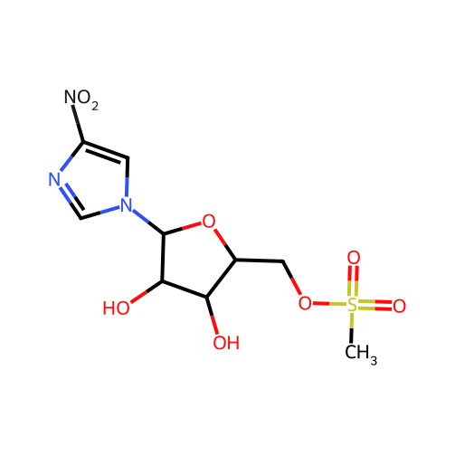 CS(=O)(=O)OCC1OC(n2cnc([N+](=O)[O-])c2)C(O)C1O